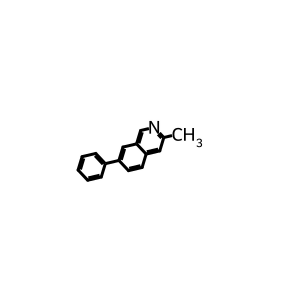 Cc1cc2ccc(-c3ccccc3)cc2cn1